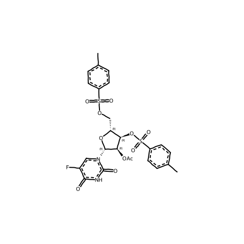 CC(=O)O[C@@H]1[C@H](OS(=O)(=O)c2ccc(C)cc2)[C@@H](COS(=O)(=O)c2ccc(C)cc2)O[C@H]1n1cc(F)c(=O)[nH]c1=O